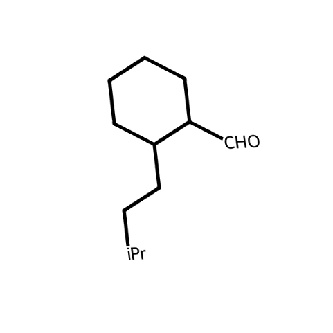 CC(C)CCC1CCCCC1C=O